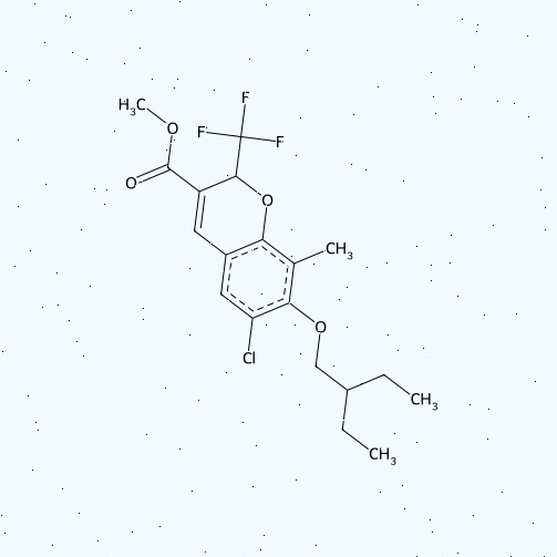 CCC(CC)COc1c(Cl)cc2c(c1C)OC(C(F)(F)F)C(C(=O)OC)=C2